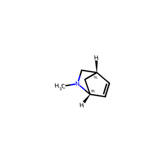 CN1C[C@@H]2C=C[C@H]1C2